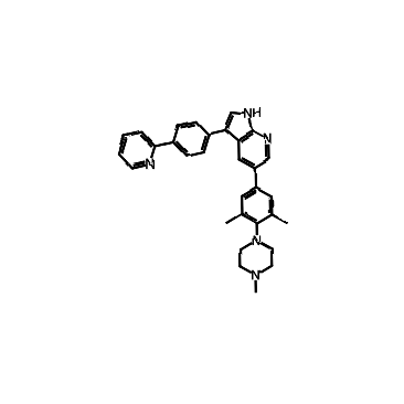 Cc1cc(-c2cnc3[nH]cc(-c4ccc(-c5ccccn5)cc4)c3c2)cc(C)c1N1CCN(C)CC1